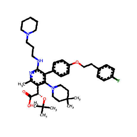 Cc1nc(NCCCN2CCCCC2)c(-c2ccc(OCCc3ccc(F)cc3)cc2)c(N2CCC(C)(C)CC2)c1[C@H](OC(C)(C)C)C(=O)O